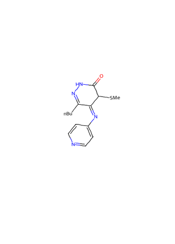 CCCCC1=NNC(=O)C(SC)C1=Nc1ccncc1